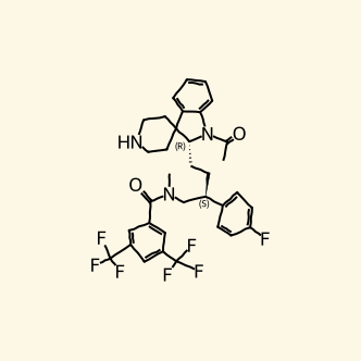 CC(=O)N1c2ccccc2C2(CCNCC2)[C@H]1CC[C@H](CN(C)C(=O)c1cc(C(F)(F)F)cc(C(F)(F)F)c1)c1ccc(F)cc1